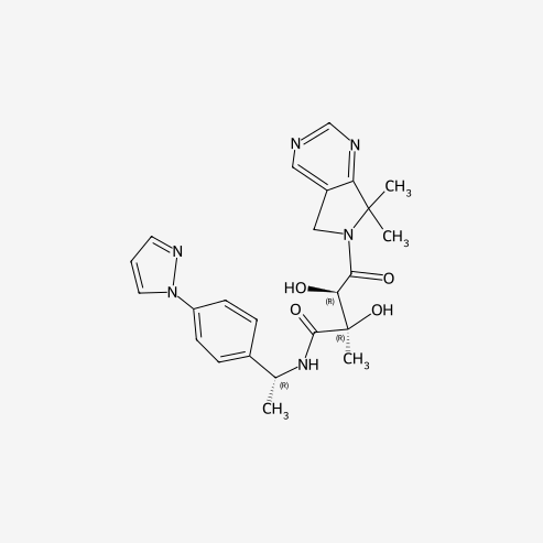 C[C@@H](NC(=O)[C@](C)(O)[C@@H](O)C(=O)N1Cc2cncnc2C1(C)C)c1ccc(-n2cccn2)cc1